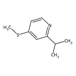 CSc1ccnc(C(C)C)c1